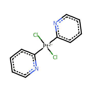 [Cl][Pt-2]([Cl])([c]1ccccn1)[c]1ccccn1